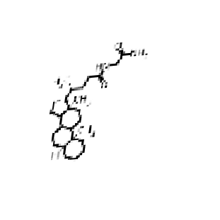 C[C@H](CCC(=O)NCC(N)=O)[C@H]1CCC2C3CC[C@@H]4CCCC[C@]4(C)C3CC[C@@]21C